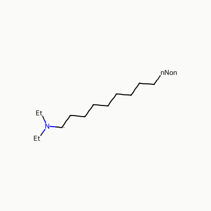 CCCCCCCCCCCCCCCCC[CH]N(CC)CC